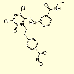 CCNC(=O)c1cccc(NCc2c(Cl)cc(Cl)c(=O)n2CCc2ccc(C(=O)N=O)cc2)c1